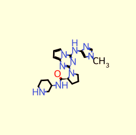 Cn1cnc(Nc2nc(N3CCC[C@H]3C(=O)N[C@@H]3CCCNC3)nc3cccn23)c1